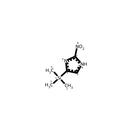 C[Si](C)(C)c1c[nH]c([N+](=O)[O-])n1